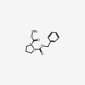 CCCCOC(=O)[C@@H]1CCCN1C(=O)OCc1ccccc1